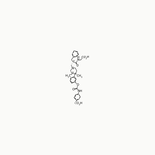 C[C@H]1CN(C[C@H](Cc2ccccc2)C(=O)NCC(=O)O)CC[C@@]1(C)c1cccc(OC(=O)Nc2ccc(C(=O)O)cc2)c1